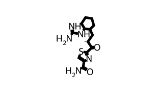 N=C(N)NC1CCCCC1C[CH]C(=O)c1nc(C(N)=O)cs1